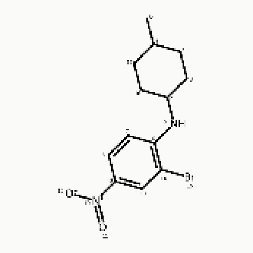 CC1CCC(Nc2ccc([N+](=O)[O-])cc2Br)CC1